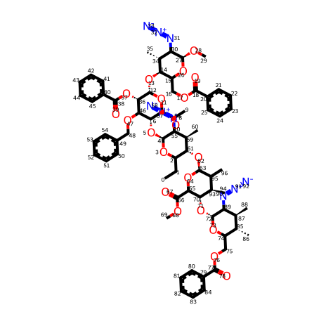 CCC1O[C@@H](O[C@H]2C(C(C)=O)O[C@@H](O[C@@H]3C(COC(=O)c4ccccc4)O[C@H](OC)C(N=[N+]=[N-])[C@H]3C)[C@@H](OC(=O)c3ccccc3)C2OCc2ccccc2)C(N=[N+]=[N-])[C@@H](C)[C@@H]1O[C@@H]1OC(C(=O)OC)[C@@H](O[C@H]2OC(COC(=O)c3ccccc3)[C@@H](C)[C@H](C)C2N=[N+]=[N-])[C@H](C)C1C